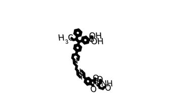 CC/C(=C(/c1ccc(B(O)O)cc1)c1ccc(C2CCN(CCCN3CCN(c4ccc5c(c4)C(=O)N(C4CCC(=O)NC4=O)C5=O)CC3)CC2)cc1)c1ccccc1